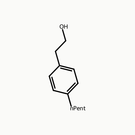 CCCCCc1ccc(CCO)cc1